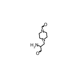 NC(C=O)CN1CCN(C=O)CC1